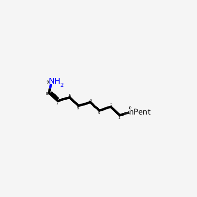 CCCCCCCCCCC/C=[C]\N